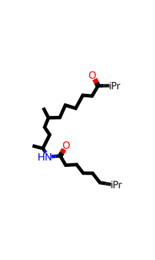 CC(C)CCCCCC(=O)NC(C)CCC(C)CCCCCC(=O)C(C)C